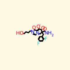 COC1=C2C(=O)N(CCCCO)C=CN2CC(Cc2ccc(F)cc2F)(C(N)=O)C1=O